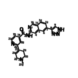 O=C(Nc1cc2cc(-c3c[nH]nn3)ccc2cn1)c1ccnc(C2=CCN(I)CC2)c1